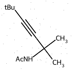 CC(=O)NC(C)(C)C#CC(C)(C)C